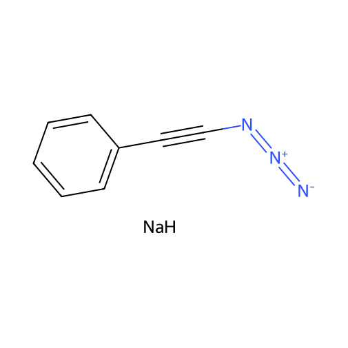 [N-]=[N+]=NC#Cc1ccccc1.[NaH]